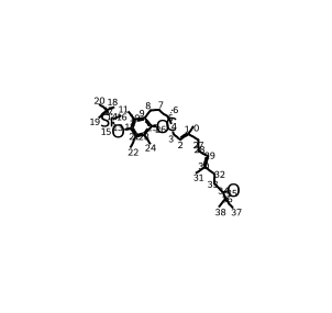 C/C(=C\CC[C@]1(C)CCc2c(C)c(O[Si](C)(C)C(C)(C)C)c(C)c(C)c2O1)CC/C=C(\C)CCC1OC1(C)C